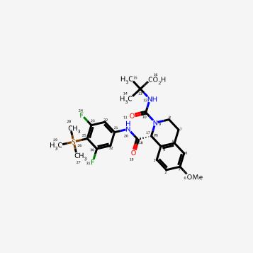 COc1ccc2c(c1)CCN(C(=O)NC(C)(C)C(=O)O)[C@H]2C(=O)Nc1cc(F)c(S(C)(C)C)c(F)c1